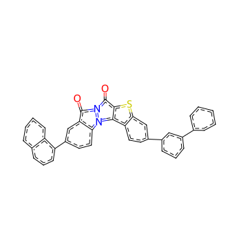 O=c1c2cc(-c3cccc4ccccc34)ccc2n2c3c(sc4cc(-c5cccc(-c6ccccc6)c5)ccc43)c(=O)n12